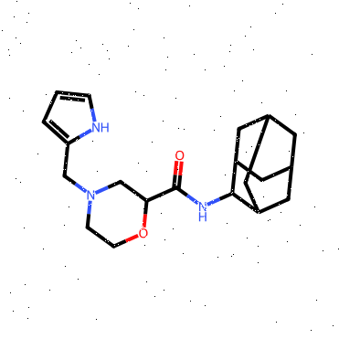 O=C(NC1C2CC3CC(C2)CC1C3)C1CN(Cc2ccc[nH]2)CCO1